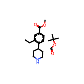 CC(C)(C)OC=O.CCc1cc(C(=O)OC)ccc1C1CCNCC1